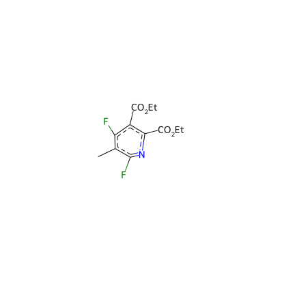 CCOC(=O)c1nc(F)c(C)c(F)c1C(=O)OCC